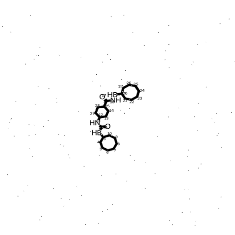 O=C(BC1CCCCCCC1)NC1CCC(C(=O)NBC2CCCCCCC2)CC1